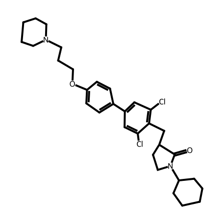 O=C1C(Cc2c(Cl)cc(-c3ccc(OCCCN4CCCCC4)cc3)cc2Cl)CCN1C1CCCCC1